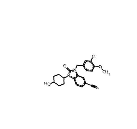 COc1ccc(Cn2c(=O)n(C3CCC(O)CC3)c3ccc(C#N)cc32)cc1Cl